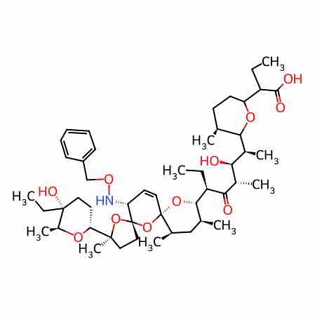 CCC(C(=O)O)C1CC[C@H](C)C([C@@H](C)[C@H](O)[C@H](C)C(=O)[C@H](CC)[C@H]2O[C@]3(C=C[C@@H](NOCc4ccccc4)[C@]4(CC[C@@](C)([C@H]5CC[C@](O)(CC)[C@H](C)O5)O4)O3)[C@H](C)C[C@@H]2C)O1